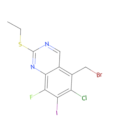 CCSc1ncc2c(CBr)c(Cl)c(I)c(F)c2n1